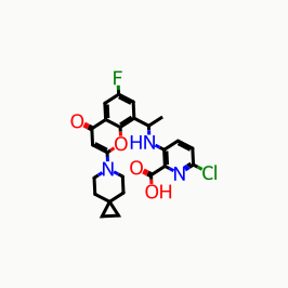 CC(Nc1ccc(Cl)nc1C(=O)O)c1cc(F)cc2c(=O)cc(N3CCC4(CC3)CC4)oc12